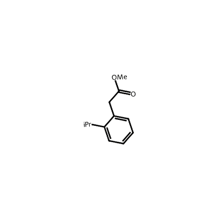 COC(=O)Cc1ccccc1C(C)C